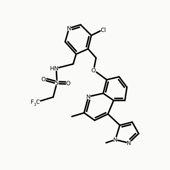 Cc1cc(-c2ccnn2C)c2cccc(OCc3c(Cl)cncc3CNS(=O)(=O)CC(F)(F)F)c2n1